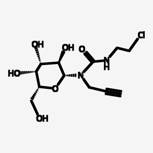 C#CCN(C(=O)NCCCl)[C@@H]1O[C@H](CO)[C@H](O)[C@H](O)[C@H]1O